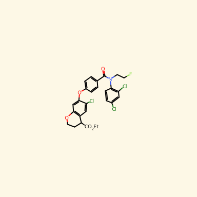 CCOC(=O)C1CCOc2cc(Oc3ccc(C(=O)N(CCF)c4ccc(Cl)cc4Cl)cc3)c(Cl)cc21